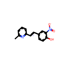 Cc1cccc(/C=C/c2ccc(O)c([N+](=O)[O-])c2)n1